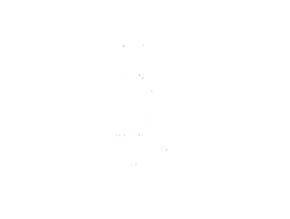 O=C(OCCN1CCCCC1)C(Br)Br